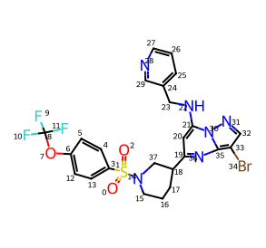 O=S(=O)(c1ccc(OC(F)(F)F)cc1)N1CCCC(c2cc(NCc3cccnc3)n3ncc(Br)c3n2)C1